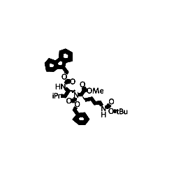 COC(=O)[C@H](CCCCNC(=O)OC(C)(C)C)N(C[C@H](CC(C)C)NC(=O)OCC1c2ccccc2-c2ccccc21)C(=O)OCc1ccccc1